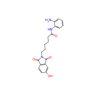 Nc1ccccc1NC(=O)CCCCCN1C(=O)c2ccc(O)cc2C1=O